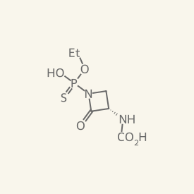 CCOP(O)(=S)N1C[C@H](NC(=O)O)C1=O